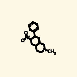 CN1CCC2CC([N+](=O)[O-])C(c3ccccc3)C=C2C1